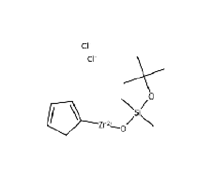 CC(C)(C)O[Si](C)(C)[O][Zr+2][C]1=CC=CC1.[Cl-].[Cl-]